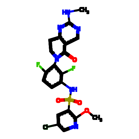 CNc1ncc2c(=O)n(-c3c(F)ccc(NS(=O)(=O)c4cc(Cl)cnc4OC)c3F)ccc2n1